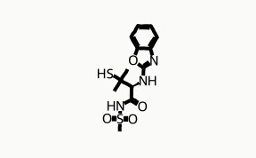 CC(C)(S)[C@@H](Nc1nc2ccccc2o1)C(=O)NS(C)(=O)=O